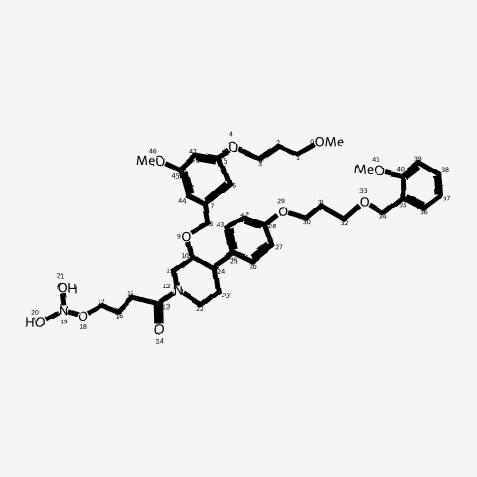 COCCCOc1cc(COC2CN(C(=O)CCCON(O)O)CCC2c2ccc(OCCCOCc3ccccc3OC)cc2)cc(OC)c1